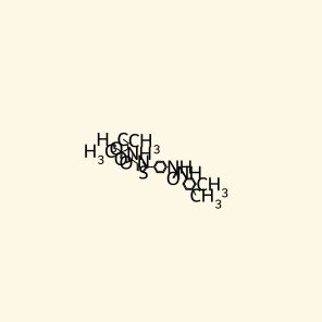 COC(=O)C(NC(=O)c1csc(-c2ccc(NC(=O)Nc3ccc(C)c(C)c3)cc2)n1)C(C)C